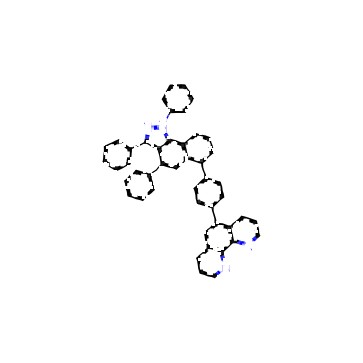 c1ccc(-c2cc3c(-c4ccc(-c5cc6cccnc6c6ncccc56)cc4)cccc3c3c2c(-c2ccccc2)nn3-c2ccccc2)cc1